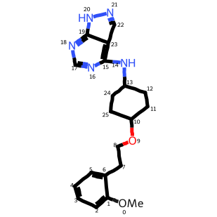 COc1ccccc1CCOC1CCC(Nc2ncnc3[nH]ncc23)CC1